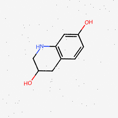 Oc1ccc2c(c1)NCC(O)C2